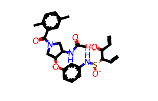 C=CC(O)C(C=C)[S+]([O-])Nc1cccc(OC2CN(C(=O)c3cc(C)ccc3C)CC2NC(C)=O)c1